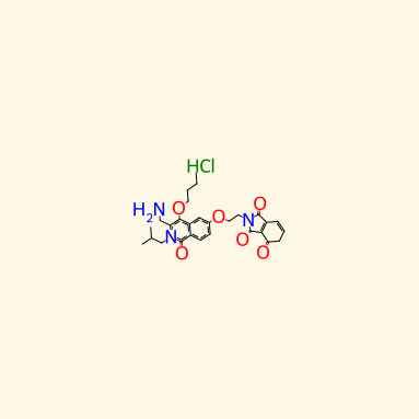 CCCCOc1c(CN)n(CC(C)C)c(=O)c2ccc(OCCN3C(=O)C4=C(C(=O)CC=C4)C3=O)cc12.Cl